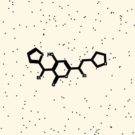 CCC(CC1CCOC1)c1cc(O)c(C(CC)c2cccs2)c(=O)o1